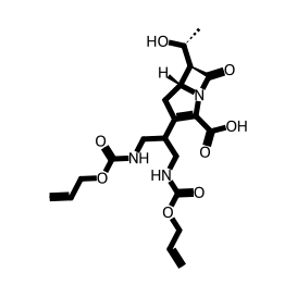 C=CCOC(=O)NCC(CNC(=O)OCC=C)C1=C(C(=O)O)N2C(=O)[C@H]([C@@H](C)O)[C@H]2C1